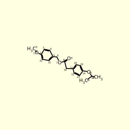 COc1ccc(COC(=O)Cc2ccc(OC(C)C)cc2)cc1